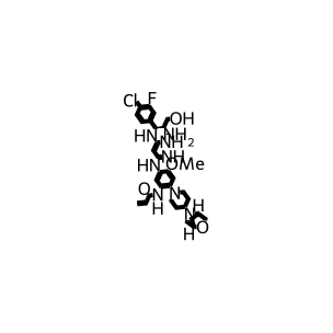 C=CC(=O)Nc1cc(NC(=N)/C=C(\NN)N[C@H](CCO)c2ccc(Cl)c(F)c2)c(OC)cc1N1CCC(N2C[C@H]3C[C@@H]2CO3)CC1